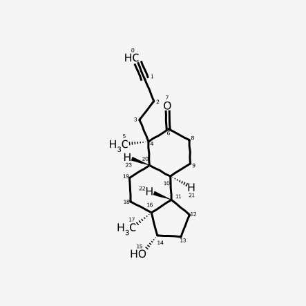 C#CCC[C@@]1(C)C(=O)CC[C@H]2[C@@H]3CC[C@H](O)[C@@]3(C)CC[C@@H]21